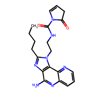 CCCCc1nc2c(N)nc3cccnc3c2n1CCNC(=O)N1C=CCC1=O